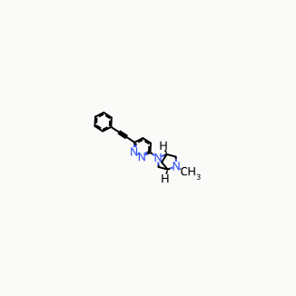 CN1C[C@@H]2C[C@H]1CN2c1ccc(C#Cc2ccccc2)nn1